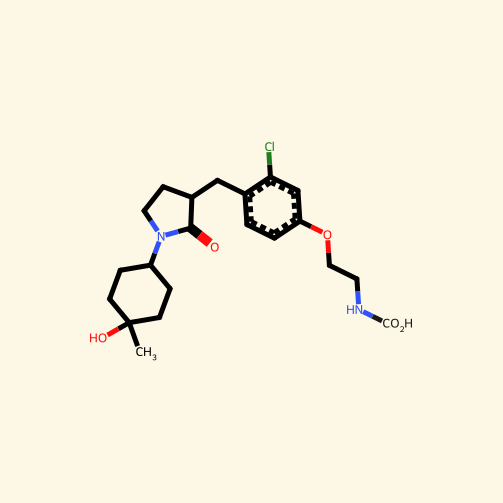 CC1(O)CCC(N2CCC(Cc3ccc(OCCNC(=O)O)cc3Cl)C2=O)CC1